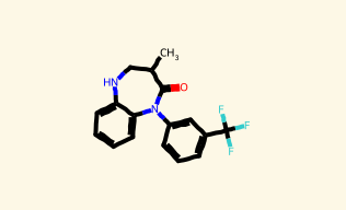 CC1CNc2ccccc2N(c2cccc(C(F)(F)F)c2)C1=O